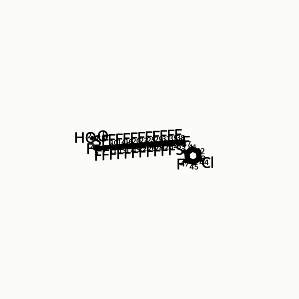 O=S(O)C(F)(F)C(F)(F)C(F)(F)C(F)(F)C(F)(F)C(F)(F)C(F)(F)C(F)(F)C(F)(F)C(F)(F)C(F)(F)C(F)(F)Sc1ccc(Cl)cc1F